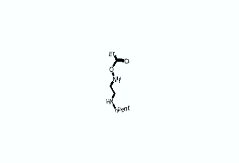 CCCCCNCCNOC(=O)CC